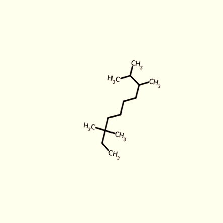 CCC(C)(C)CCCCC(C)C(C)C